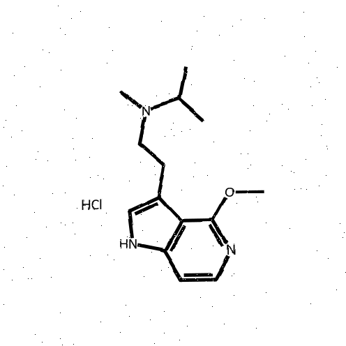 COc1nccc2[nH]cc(CCN(C)C(C)C)c12.Cl